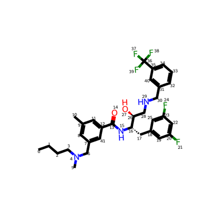 CCCCN(C)Cc1cc(C)cc(C(=O)N[C@@H](Cc2cc(F)cc(F)c2)[C@@H](O)CNCc2cccc(C(F)(F)F)c2)c1